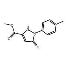 COC(=O)c1cc(=O)n(-c2ccc(C)cc2)[nH]1